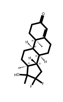 CC1(O)C(F)(F)C[C@H]2[C@@H]3CCC4=CC(=O)CC[C@]4(C)[C@@H]3CC[C@@]21C